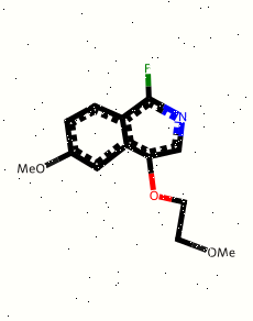 COCCOc1cnc(F)c2ccc(OC)cc12